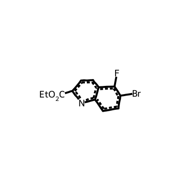 CCOC(=O)c1ccc2c(F)c(Br)ccc2n1